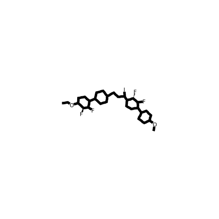 CCOC1CCC(C2CCC(CCC(I)C3CCC(C4CCC(OC)CC4)C(F)[C@H]3F)CC2)C(F)[C@H]1F